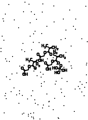 C=C(C)C(=O)OCC(=O)O.C=C(C)C(=O)OCC(=O)O.C=C(C)C(=O)OCC(=O)O.O=P(O)(O)O